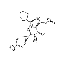 CCc1nc(C2CCCC2)n2nc(-c3ccc(O)cc3)[nH]c(=O)c12